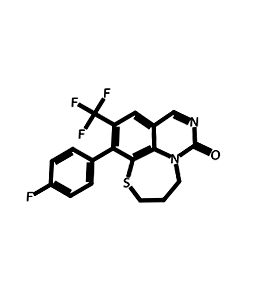 O=c1ncc2cc(C(F)(F)F)c(-c3ccc(F)cc3)c3c2n1CCCS3